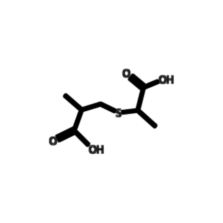 CC(CSC(C)C(=O)O)C(=O)O